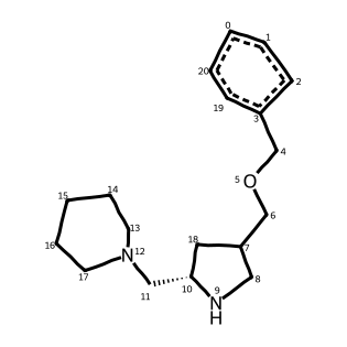 c1ccc(COCC2CN[C@H](CN3CCCCC3)C2)cc1